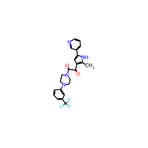 Cc1[nH]c(-c2cccnc2)cc1C(=O)C(=O)N1CCN(c2cccc(C(F)(F)F)c2)CC1